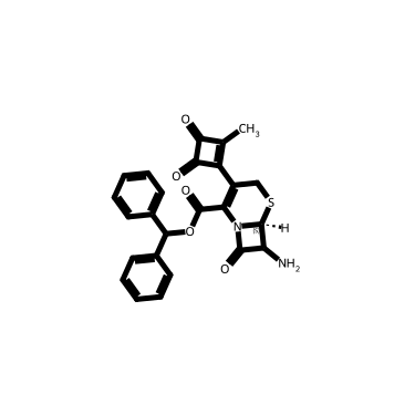 Cc1c(C2=C(C(=O)OC(c3ccccc3)c3ccccc3)N3C(=O)C(N)[C@@H]3SC2)c(=O)c1=O